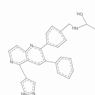 CC(O)NCc1ccc(-c2nc3ccnc(-c4cn[nH]c4)c3cc2-c2ccccc2)cc1